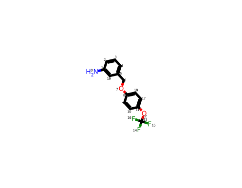 Nc1cccc(COc2ccc(OC(F)(F)F)cc2)c1